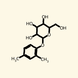 Cc1ccc(OC2OC(CO)C(O)C(O)C2O)c(C)c1